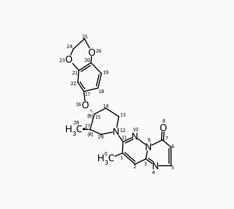 Cc1cc2nccc(=O)n2nc1N1CC[C@@H](Oc2ccc3c(c2)OCCO3)[C@H](C)C1